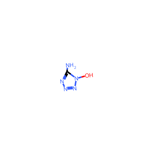 Nc1nnnn1O